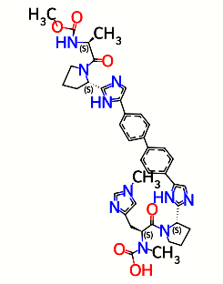 COC(=O)N[C@@H](C)C(=O)N1CCC[C@H]1c1ncc(-c2ccc(-c3ccc(-c4cnc([C@@H]5CCCN5C(=O)[C@H](Cc5cn(C)cn5)N(C)C(=O)O)[nH]4)cc3)cc2)[nH]1